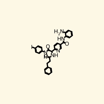 Nc1ccccc1NC(=O)c1ccc(C(NC(=O)CCc2ccccc2)C(=O)Nc2ccc(I)cc2)nc1